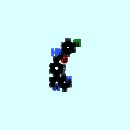 O=C(CC1CCC(c2ccnc3ccncc23)CC1)Nc1ccc(Cl)cc1